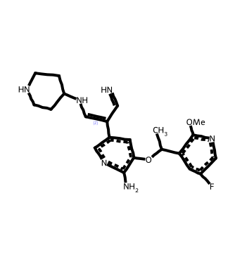 COc1ncc(F)cc1C(C)Oc1cc(/C(C=N)=C/NC2CCNCC2)cnc1N